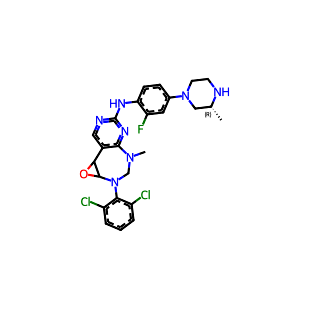 C[C@@H]1CN(c2ccc(Nc3ncc4c(n3)N(C)CN(c3c(Cl)cccc3Cl)C3OC43)c(F)c2)CCN1